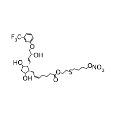 O=C(CCC/C=C\C[C@@H]1[C@@H](/C=C/[C@@H](O)COc2cccc(C(F)(F)F)c2)[C@H](O)C[C@@H]1O)OCCSCCCCO[N+](=O)[O-]